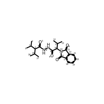 CC(C)C(C(=O)NNC(=O)C(C(C)C)N1C(=O)c2ccccc2C1=O)C(C)C